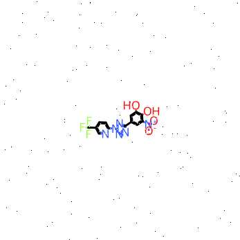 O=[N+]([O-])c1cc(-c2nnn(-c3ccc(C(F)(F)F)cn3)n2)cc(O)c1O